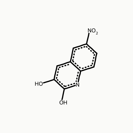 O=[N+]([O-])c1ccc2nc(O)c(O)cc2c1